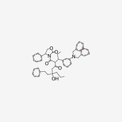 CCCC(O)(CCc1ccccc1)CC(=O)C(C(=O)N1C(=O)OCC1c1ccccc1)C(CC)c1cccc(N(Cc2ccccc2)Cc2ccccc2)c1